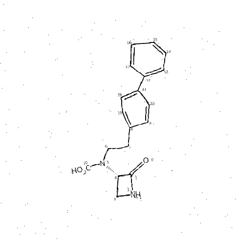 O=C1NC[C@@H]1N(CCc1ccc(-c2ccccc2)cc1)C(=O)O